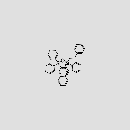 C(=C[Si](C=Cc1ccccc1)(O[Si](c1ccccc1)(c1ccccc1)c1ccccc1)c1ccccc1)c1ccccc1